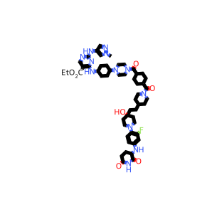 CCOC(=O)c1cnc(Nc2cnn(C)c2)nc1NC1CCC(N2CCN(C(=O)C3CCC(C(=O)N4CCC(CCC5(O)CCN(c6ccc(NC7CCC(=O)NC7=O)cc6F)CC5)CC4)CC3)CC2)CC1